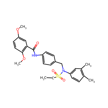 CCS(=O)(=O)N(Cc1ccc(NC(=O)c2cc(OC)ccc2OC)cc1)c1ccc(C)c(C)c1